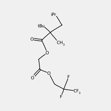 CC(C)CC(C)(C(=O)OCC(=O)OCC(F)(F)C(F)(F)F)C(C)(C)C